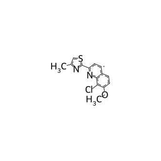 COc1ccc2[c]cc(-c3nc(C)cs3)nc2c1Cl